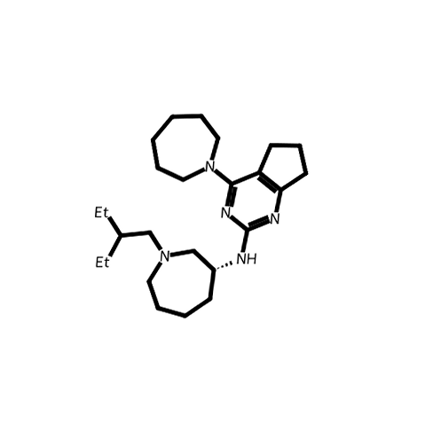 CCC(CC)CN1CCCC[C@@H](Nc2nc3c(c(N4CCCCCC4)n2)CCC3)C1